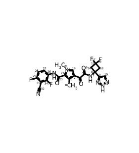 Cc1c(C(=O)C(=O)NC2(c3cn[nH]n3)CC(F)(F)C2)cn(C)c1C(=O)Nc1ccc(F)c(C#N)c1F